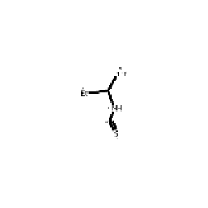 CCCC(CC)N[C]=S